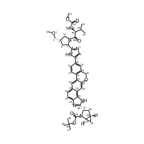 COC[C@H]1CC(c2ncc(-c3ccc4c(c3)COc3cc5c(ccc6nc([C@@H]7C[C@@H]8C[C@H]8N7C(=O)OC(C)(C)C)[nH]c65)cc3-4)[nH]2)N(C(=O)[C@@H](NC(=O)OC)C(C)C)C1